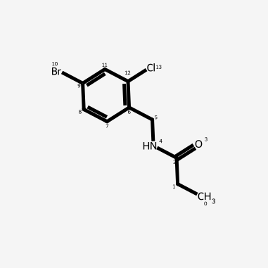 CCC(=O)NCc1ccc(Br)cc1Cl